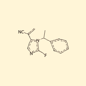 C=C(C#N)c1cnc(F)n1C(C)c1ccccc1